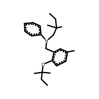 CCC(C)(C)CN(Cc1cc(C)ccc1OC(C)(C)CC)c1ccccc1